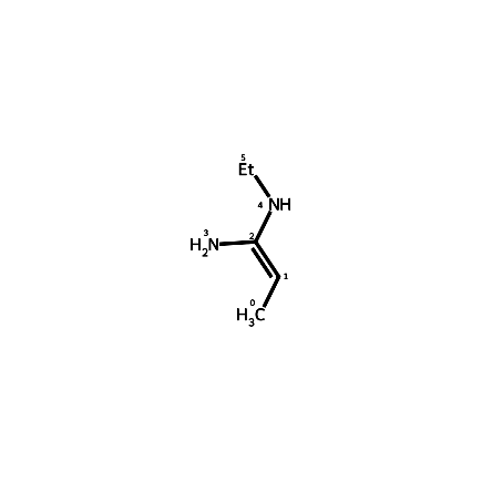 CC=C(N)NCC